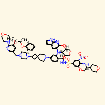 COc1cc(CN2CCN(C3CC4(CCN(c5ccc(C(=O)NS(=O)(=O)c6cc7c(c([N+](=O)[O-])c6)N[C@@H](C6CCOCC6)CO7)c(N6c7cc8cc[nH]c8nc7O[C@H]7COCC[C@@H]76)c5)CC4)C3)[C@@H](c3ccccc3OC(C)C)C2)cnc1N1CCOCC1